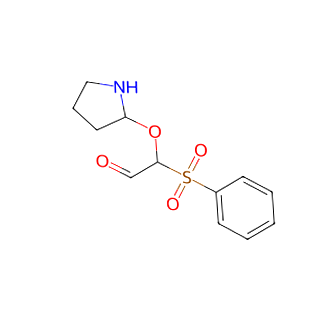 O=CC(OC1CCCN1)S(=O)(=O)c1ccccc1